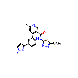 COc1nnc(NC(=O)c2cnc(C)cc2-c2cccc(-c3ccn(C)n3)c2)s1